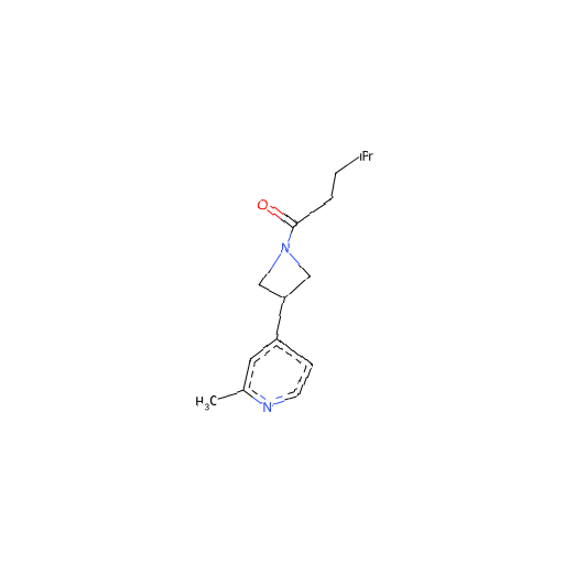 Cc1cc(C2CN(C(=O)CCC(C)C)C2)ccn1